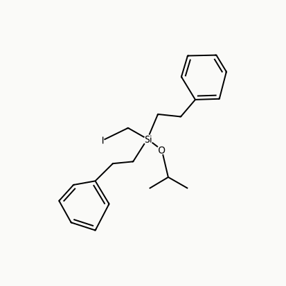 CC(C)O[Si](CI)(CCc1ccccc1)CCc1ccccc1